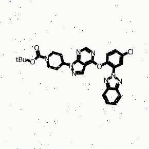 CC(C)(C)OC(=O)N1CCC(n2ncc3c(Oc4ccc(Cl)cc4-n4nc5ccccc5n4)ncnc32)CC1